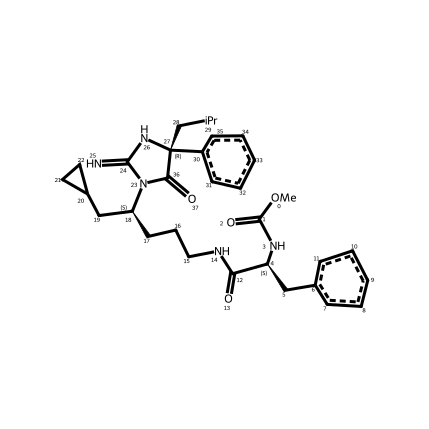 COC(=O)N[C@@H](Cc1ccccc1)C(=O)NCCC[C@@H](CC1CC1)N1C(=N)N[C@](CC(C)C)(c2ccccc2)C1=O